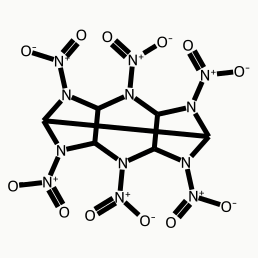 O=[N+]([O-])N1C2C3N([N+](=O)[O-])C1C1N([N+](=O)[O-])C(C(N1[N+](=O)[O-])N3[N+](=O)[O-])N2[N+](=O)[O-]